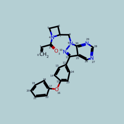 C=CC(=O)N1CCC1Cn1nc(-c2ccc(Oc3ccccc3)cc2)c2cncnc21